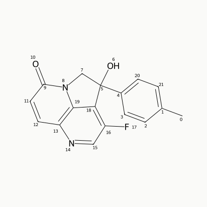 Cc1ccc(C2(O)Cn3c(=O)ccc4ncc(F)c2c43)cc1